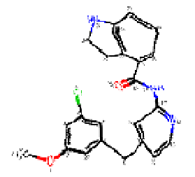 COc1cc(Cl)cc(Cc2ccnc(NC(=O)c3cccc4c3CCN4)c2)c1